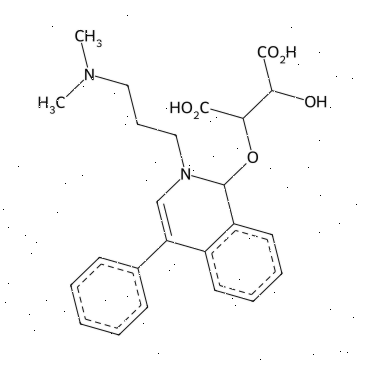 CN(C)CCCN1C=C(c2ccccc2)c2ccccc2C1OC(C(=O)O)C(O)C(=O)O